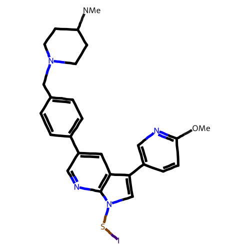 CNC1CCN(Cc2ccc(-c3cnc4c(c3)c(-c3ccc(OC)nc3)cn4SI)cc2)CC1